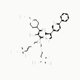 C[Si](C)(C)CCOCN(COCC[Si](C)(C)C)c1c(Br)c(C2CCN(C(=O)O)CC2)nc2c(-c3ccc(-c4ccccc4)nc3)cnn12